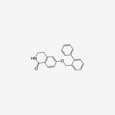 O=C1NCCc2cc(OCc3ccccc3-c3ccccc3)ccc21